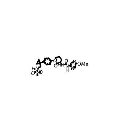 COc1cnc(NC(=O)N[C@@H]2CCCN(c3ccc(C4(CNS(C)(=O)=O)CC4)cc3)C2=O)cn1